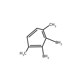 Bc1c(C)ccc(C)c1B